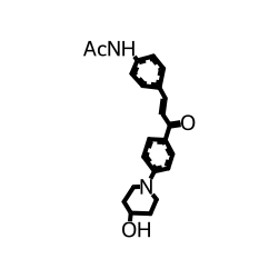 CC(=O)Nc1ccc(/C=C/C(=O)c2ccc(N3CCC(O)CC3)cc2)cc1